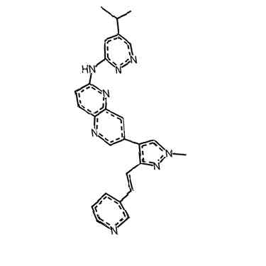 CC(C)c1cnnc(Nc2ccc3ncc(-c4cn(C)nc4C=Cc4cccnc4)cc3n2)c1